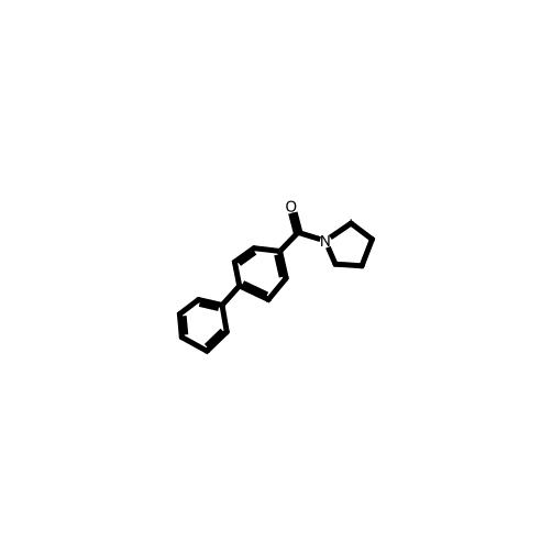 O=C(c1ccc(-c2ccccc2)cc1)N1[CH]CCC1